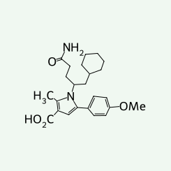 COc1ccc(-c2cc(C(=O)O)c(C)n2C(CCC(N)=O)CC2CCCCC2)cc1